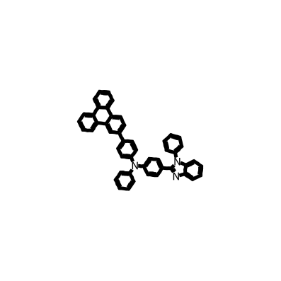 c1ccc(N(c2ccc(-c3ccc4c5ccccc5c5ccccc5c4c3)cc2)c2ccc(-c3nc4ccccc4n3-c3ccccc3)cc2)cc1